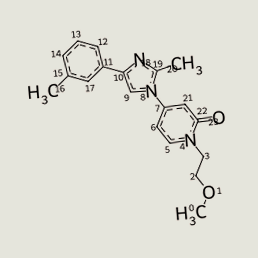 COCCn1ccc(-n2cc(-c3cccc(C)c3)nc2C)cc1=O